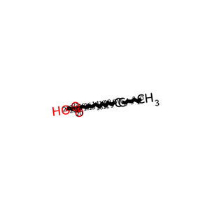 CCCCCCCCCCCCCCCCCCCC(=O)OCCO